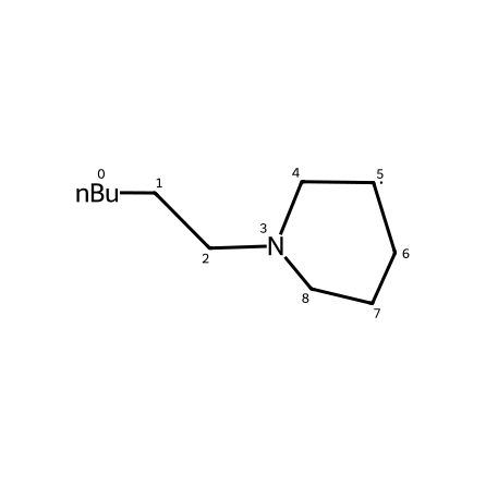 CCCCCCN1C[CH]CCC1